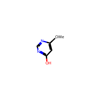 COc1cc(O)n[c]n1